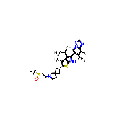 Cc1c(-c2[nH]c3sc([C@H]4C[C@]5(CCN(CC[S+](C)[O-])C5)C4)c(C)c3c2C(C)C)cn2ncnc2c1C